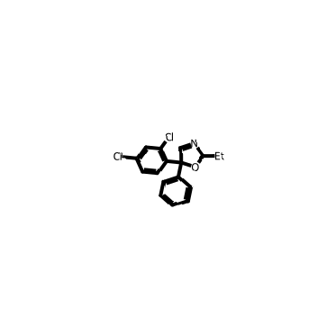 CCC1N=CC(c2ccccc2)(c2ccc(Cl)cc2Cl)O1